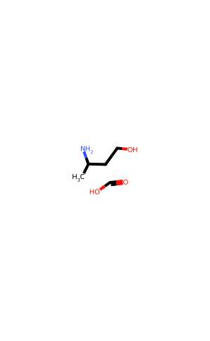 CC(N)CCO.O=CO